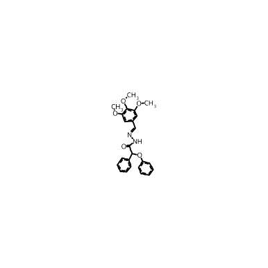 COc1cc(/C=N/NC(=O)C(Oc2ccccc2)c2ccccc2)cc(OC)c1OC